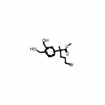 COC(=O)C(C)(CCCBr)c1ccc(CO)c(CO)c1